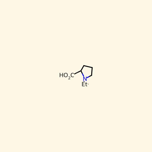 C[CH]N1CCCC1C(=O)O